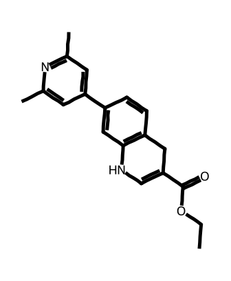 CCOC(=O)C1=CNc2cc(-c3cc(C)nc(C)c3)ccc2C1